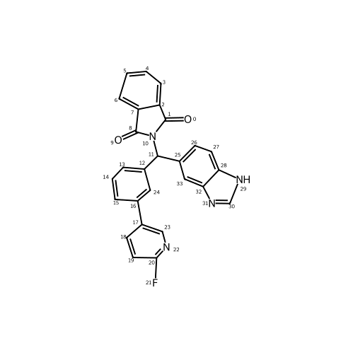 O=C1c2ccccc2C(=O)N1C(c1cccc(-c2ccc(F)nc2)c1)c1ccc2[nH]cnc2c1